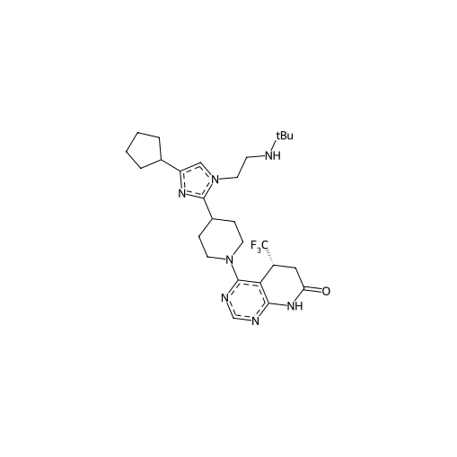 CC(C)(C)NCCn1cc(C2CCCC2)nc1C1CCN(c2ncnc3c2[C@H](C(F)(F)F)CC(=O)N3)CC1